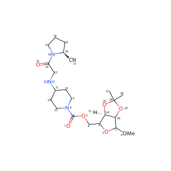 COC1OC(COC(=O)N2CCC(NCC(=O)N3CCC[C@H]3C#N)CC2)[C@H]2OC(C)(C)OC12